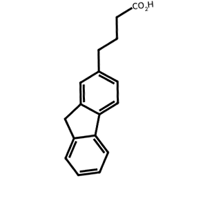 O=C(O)CCCc1ccc2c(c1)Cc1ccccc1-2